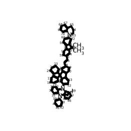 CC1(C)c2cc(/C=C/c3ccc4c(c3)C(c3ccccc3)(c3ccccc3)c3cc(N5c6ccccc6N(c6ccccc6)C67C=CC[C@@](I)(C6)C57)ccc3-4)ccc2-c2ccc(N3CCCc4ccccc43)cc21